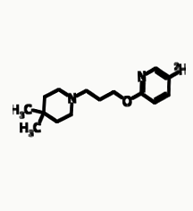 [2H]c1ccc(OCCCN2CCC(C)(C)CC2)nc1